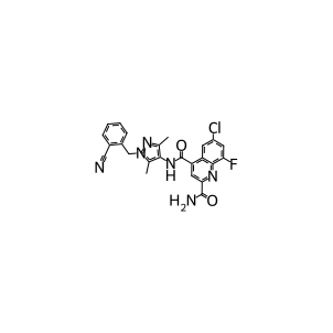 Cc1nn(Cc2ccccc2C#N)c(C)c1NC(=O)c1cc(C(N)=O)nc2c(F)cc(Cl)cc12